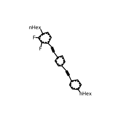 CCCCCCc1ccc(C#Cc2ccc(C#Cc3ccc(CCCCCC)c(F)c3F)cc2)cc1